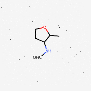 CC1OCCC1NC=O